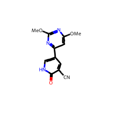 COc1cc(-c2c[nH]c(=O)c(C#N)c2)nc(OC)n1